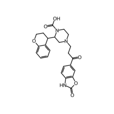 O=C(CCN1CCN(C(=O)O)C(C2CCOc3ccccc32)C1)c1ccc2[nH]c(=O)oc2c1